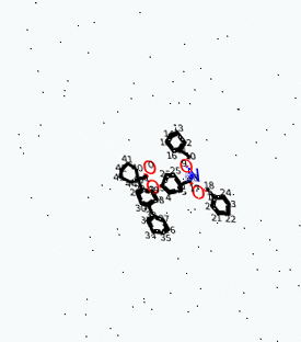 O=C(Oc1ccc(/C(=N\OCc2ccccc2)OCc2ccccc2)cc1)C1(c2ccc(-c3ccccc3)cc2)CCCCC1